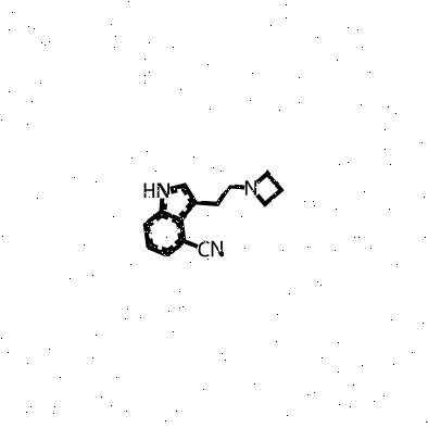 N#Cc1cccc2[nH]cc(CCN3CCC3)c12